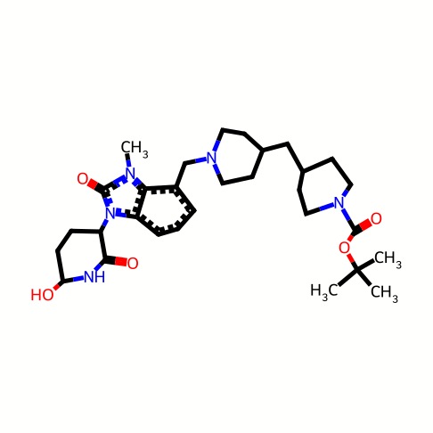 Cn1c(=O)n(C2CCC(O)NC2=O)c2cccc(CN3CCC(CC4CCN(C(=O)OC(C)(C)C)CC4)CC3)c21